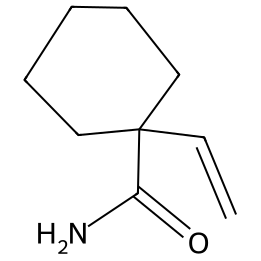 C=CC1(C(N)=O)CCCCC1